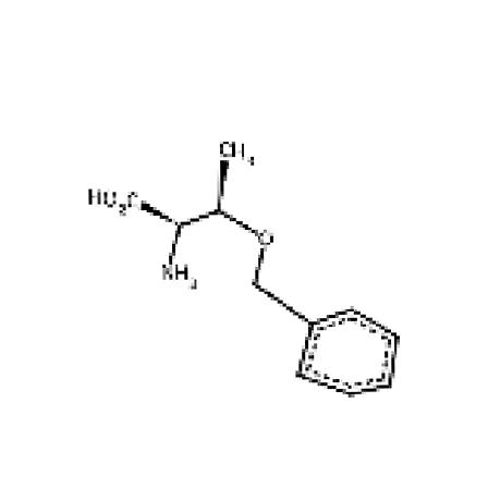 C[C@@H](OCc1ccccc1)[C@@H](N)C(=O)O